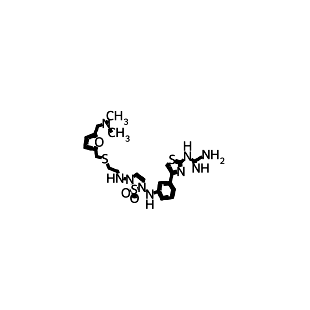 CN(C)Cc1ccc(CSCCNN2C=CN(Nc3cccc(-c4csc(NC(=N)N)n4)c3)S2(=O)=O)o1